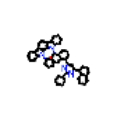 c1ccc(-c2nc(-c3cccc4ccccc34)cc(-c3cccc4c(-n5c6ccccc6c6ccc7c8ccccc8n(-c8ccccc8)c7c65)cccc34)n2)cc1